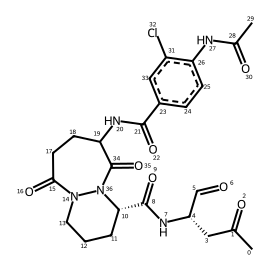 CC(=O)C[C@@H](C=O)NC(=O)[C@@H]1CCCN2C(=O)CCC(NC(=O)c3ccc(NC(C)=O)c(Cl)c3)C(=O)N12